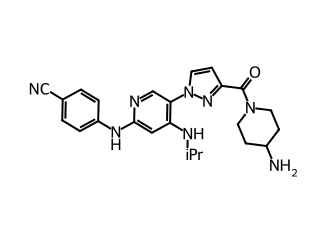 CC(C)Nc1cc(Nc2ccc(C#N)cc2)ncc1-n1ccc(C(=O)N2CCC(N)CC2)n1